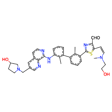 Cc1c(Nc2nccc3cc(CN4CCC(O)C4)cnc23)cccc1-c1cccc(-c2nc(C=O)c(/C=C\N(C)CCO)s2)c1C